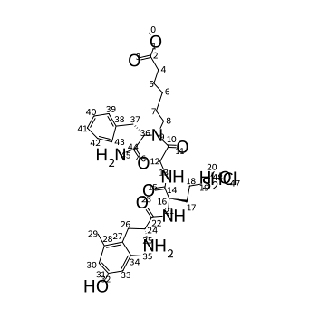 COC(=O)CCCCCN(C(=O)CNC(=O)[C@@H](CCSC)NC(=O)[C@H](N)Cc1c(C)cc(O)cc1C)[C@@H](Cc1ccccc1)C(N)=O.Cl.O